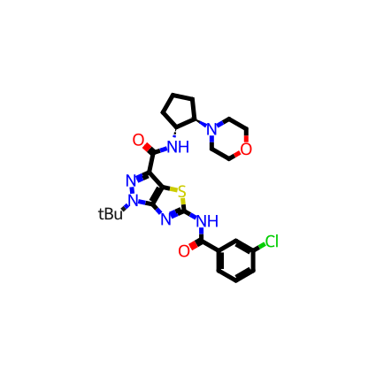 CC(C)(C)n1nc(C(=O)N[C@@H]2CCC[C@H]2N2CCOCC2)c2sc(NC(=O)c3cccc(Cl)c3)nc21